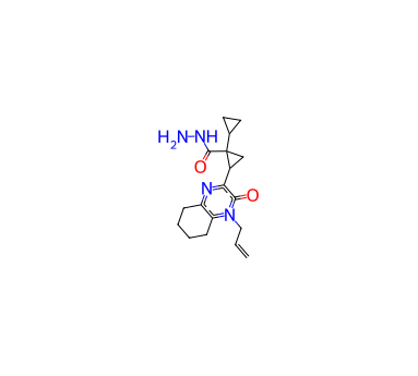 C=CCn1c2c(nc(C3CC3(C(=O)NN)C3CC3)c1=O)CCCC2